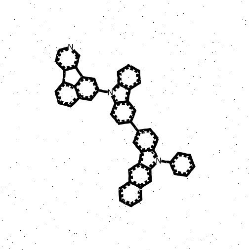 c1ccc(-n2c3ccc(-c4ccc5c(c4)c4ccccc4n5-c4cc5c6c(cccc6c4)-c4ccncc4-5)cc3c3cc4ccccc4cc32)cc1